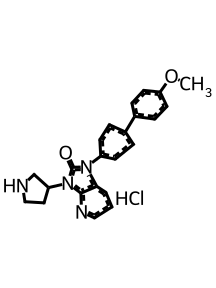 COc1ccc(-c2ccc(-n3c(=O)n(C4CCNC4)c4ncccc43)cc2)cc1.Cl